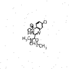 CCOC(C1=Nc2cc(Cl)ccc2S(=O)(=O)N1)N(C)C